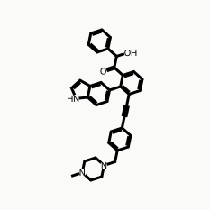 CN1CCN(Cc2ccc(C#Cc3cccc(C(=O)C(O)c4ccccc4)c3-c3ccc4[nH]ccc4c3)cc2)CC1